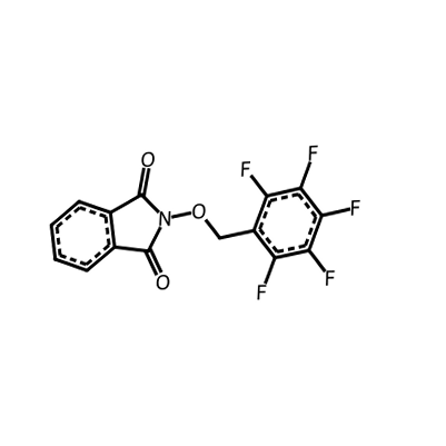 O=C1c2ccccc2C(=O)N1OCc1c(F)c(F)c(F)c(F)c1F